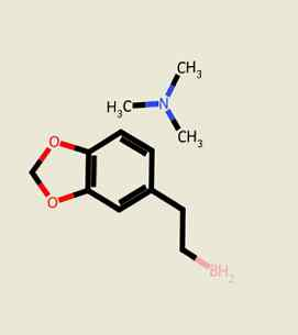 BCCc1ccc2c(c1)OCO2.CN(C)C